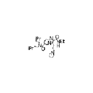 CCNC(=O)c1nc2ccc(C(=O)N(CCC(C)C)CCC(C)C)cn2c1CCCN1CCCC1